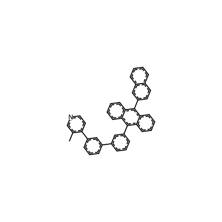 Cc1cnccc1-c1cccc(-c2cccc(-c3c4ccccc4c(-c4ccc5ccccc5c4)c4ccccc34)c2)c1